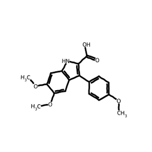 COc1ccc(-c2c(C(=O)O)[nH]c3cc(OC)c(OC)cc23)cc1